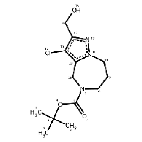 CC(C)(C)OC(=O)N1CCCn2nc(CO)c(Cl)c2C1